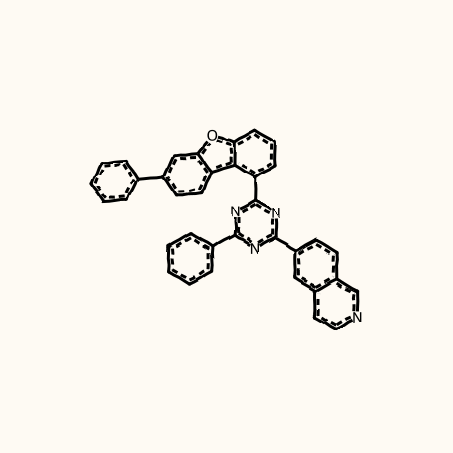 c1ccc(-c2ccc3c(c2)oc2cccc(-c4nc(-c5ccccc5)nc(-c5ccc6cnccc6c5)n4)c23)cc1